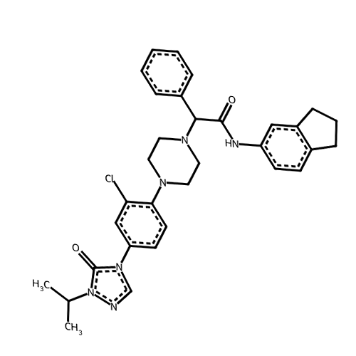 CC(C)n1ncn(-c2ccc(N3CCN(C(C(=O)Nc4ccc5c(c4)CCC5)c4ccccc4)CC3)c(Cl)c2)c1=O